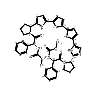 COC(=O)N[C@@H](C(=O)N1CCCC1c1ncc(-c2ccc(-c3ccc(-c4cnc([C@@H]5CCCN5C(=O)[C@H](NC(=O)OC)c5ccccc5)[nH]4)s3)s2)[nH]1)c1ccccc1